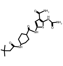 CC(C)(C)CC(=O)NC1CCC(C(=O)Nc2cc(C(N)=O)c(NC(N)=O)s2)CC1